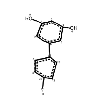 Oc1cc(O)cc(-c2ccc(F)cc2)c1